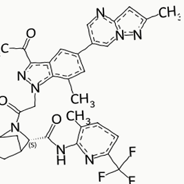 CC(=O)c1nn(CC(=O)N2C3CCC(C3)[C@H]2C(=O)Nc2nc(C(F)(F)F)ccc2C)c2c(C)cc(-c3cnc4cc(C)nn4c3)cc12